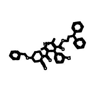 CC1=C(C(=O)OCCC(c2ccccc2)c2ccccc2)C(c2cccc(Cl)c2)C(C(=O)N2CCC(OCc3ccccc3)CC2=C=O)=C(C)N1